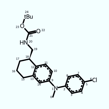 CN(c1ccc(Cl)cc1)c1ccc2c(c1)CCC[C@H]2CNC(=O)OC(C)(C)C